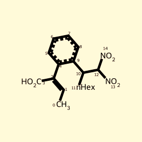 CC=C(C(=O)O)c1ccccc1C(CCCCCC)C([N+](=O)[O-])[N+](=O)[O-]